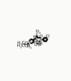 Cc1nc(C2CCN(C(=O)OC(C)(C)C)CC2)sc1C(=O)N(c1cccc(Cl)c1)c1noc(=O)[nH]1